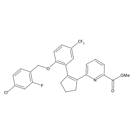 COC(=O)c1cccc(C2=C(c3cc(C(F)(F)F)ccc3OCc3ccc(Cl)cc3F)CCC2)n1